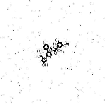 Cc1cc(F)ccc1-c1cc(N2CC(O)CC2CO)ncc1N(C)C(=O)C(C)(C)c1cc(Cl)cc(OC(F)F)c1